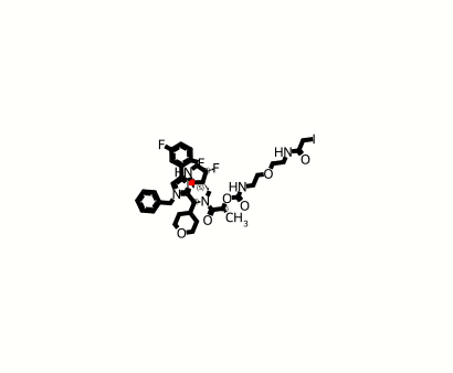 C[C@H](OC(=O)NCCOCCNC(=O)CI)C(=O)N(C[C@@H]1CNC[C@@H]1F)[C@@H](c1nc(-c2cc(F)ccc2F)cn1Cc1ccccc1)C1CCOCC1